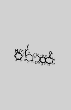 CC[C@H](N)[C@]1(c2ccccc2)CC[C@@H](Oc2cc3cc[nH]c(=O)c3cc2Cl)CC1